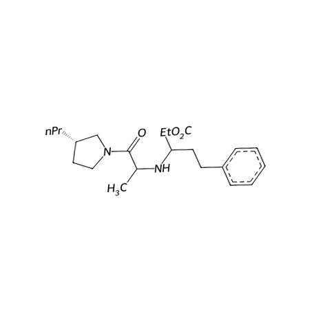 CCC[C@H]1CCN(C(=O)C(C)NC(CCc2ccccc2)C(=O)OCC)C1